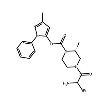 Cc1cc(OC(=O)N2CCN(C(=O)C(N)C(C)C)C[C@H]2C)n(-c2ccccc2)n1